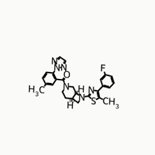 Cc1ccc(-n2nccn2)c(C(=O)N2CC[C@@H]3CN(c4nc(-c5cccc(F)c5)c(C)s4)[C@@H]3C2)c1